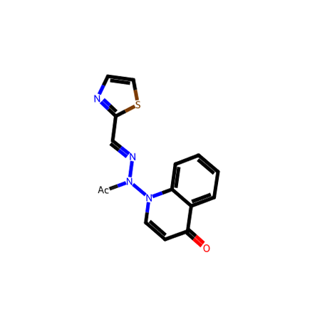 CC(=O)N(N=Cc1nccs1)n1ccc(=O)c2ccccc21